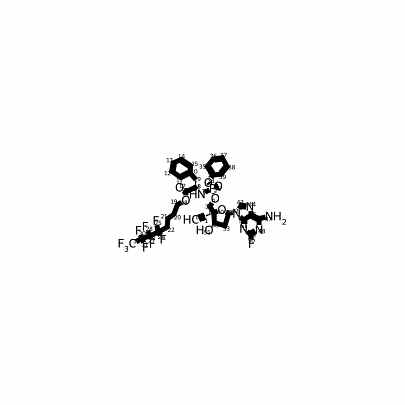 C#C[C@]1(COP(=O)(N[C@@H](Cc2ccccc2)C(=O)OCCCCC(F)(F)C(F)(F)C(F)(F)C(F)(F)F)Oc2ccccc2)O[C@@H](n2cnc3c(N)nc(F)nc32)C[C@@H]1O